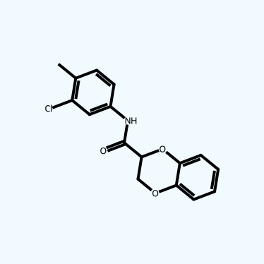 Cc1ccc(NC(=O)C2COc3ccccc3O2)cc1Cl